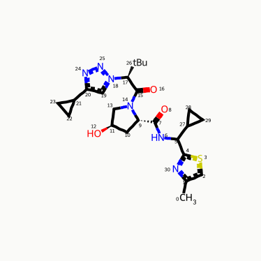 Cc1csc(C(NC(=O)[C@@H]2C[C@@H](O)CN2C(=O)[C@@H](n2cc(C3CC3)nn2)C(C)(C)C)C2CC2)n1